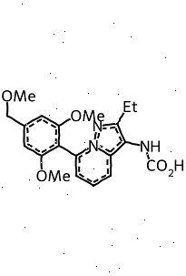 CCc1nn2c(-c3c(OC)cc(COC)cc3OC)cccc2c1NC(=O)O